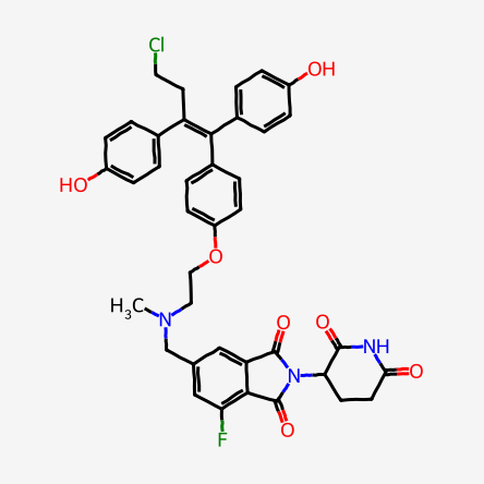 CN(CCOc1ccc(C(=C(CCCl)c2ccc(O)cc2)c2ccc(O)cc2)cc1)Cc1cc(F)c2c(c1)C(=O)N(C1CCC(=O)NC1=O)C2=O